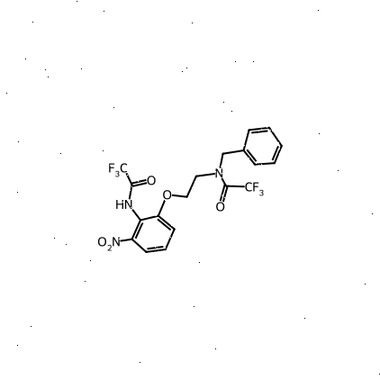 O=C(Nc1c(OCCN(Cc2ccccc2)C(=O)C(F)(F)F)cccc1[N+](=O)[O-])C(F)(F)F